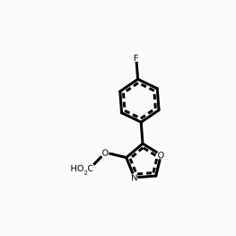 O=C(O)Oc1ncoc1-c1ccc(F)cc1